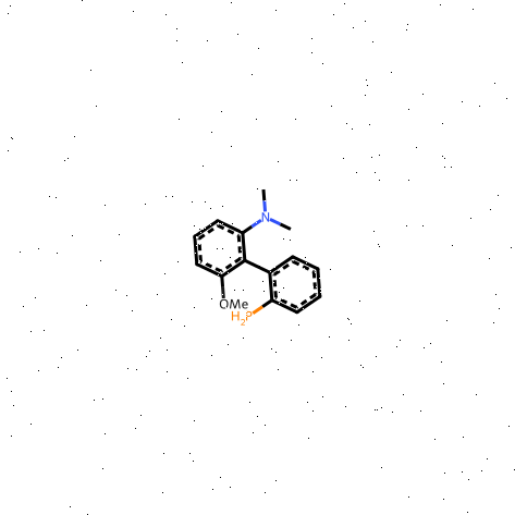 COc1cccc(N(C)C)c1-c1ccccc1P